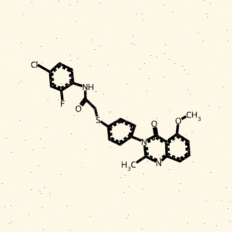 COc1cccc2nc(C)n(-c3ccc(SCC(=O)Nc4ccc(Cl)cc4F)cc3)c(=O)c12